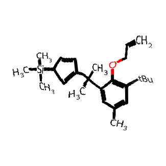 C=CCOc1c(C(C)(C)C)cc(C)cc1C(C)(C)C1=CC([Si](C)(C)C)C=C1